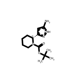 CC(C)(C)OC(=O)N1CCCC[C@@H]1c1cc(N)[nH]n1